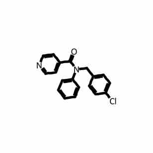 O=C(c1ccncc1)N(Cc1ccc(Cl)cc1)c1ccccc1